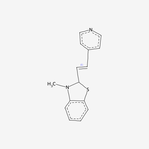 CN1c2ccccc2SC1/C=C/c1ccncc1